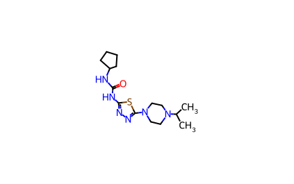 CC(C)N1CCN(c2nnc(NC(=O)NC3CCCC3)s2)CC1